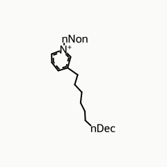 CCCCCCCCCCCCCCCCc1ccc[n+](CCCCCCCCC)c1